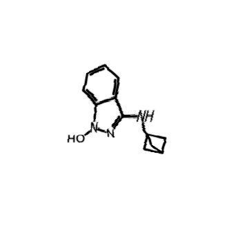 On1nc(NC23CC(C2)C3)c2ccccc21